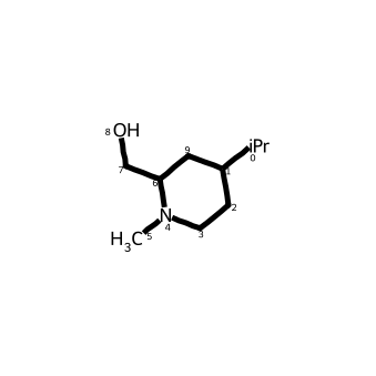 CC(C)C1CCN(C)C(CO)C1